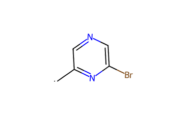 [CH2]c1cncc(Br)n1